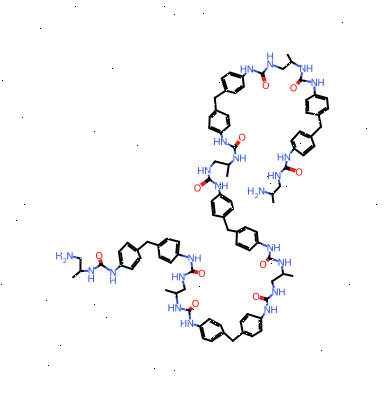 CC(N)CNC(=O)Nc1ccc(Cc2ccc(NC(=O)NC(C)CNC(=O)Nc3ccc(Cc4ccc(NC(=O)NC(C)CNC(=O)Nc5ccc(Cc6ccc(NC(=O)NC(C)CNC(=O)Nc7ccc(Cc8ccc(NC(=O)NC(C)CNC(=O)Nc9ccc(Cc%10ccc(NC(=O)NC(C)CN)cc%10)cc9)cc8)cc7)cc6)cc5)cc4)cc3)cc2)cc1